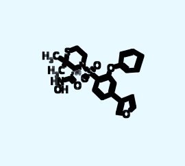 CC1(C)SCCN(S(=O)(=O)c2ccc(-c3ccoc3)cc2Oc2ccccc2)[C@@H]1C(=O)NO